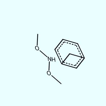 CONOC.c1cc2cc(c1)C2